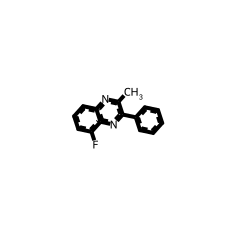 Cc1nc2cccc(F)c2nc1-c1ccccc1